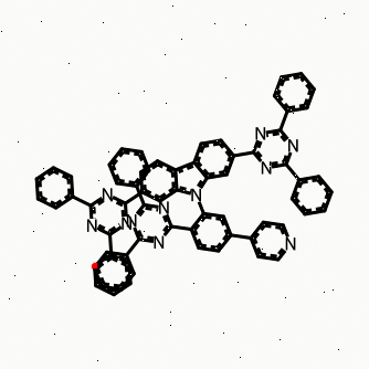 c1ccc(-c2nc(-c3ccccc3)nc(-c3ccc4c5ccc(-c6nc(-c7ccccc7)nc(-c7ccccc7)n6)cc5n(-c5cc(-c6ccncc6)ccc5-c5nc(-c6ccccc6)nc(-c6ccccc6)n5)c4c3)n2)cc1